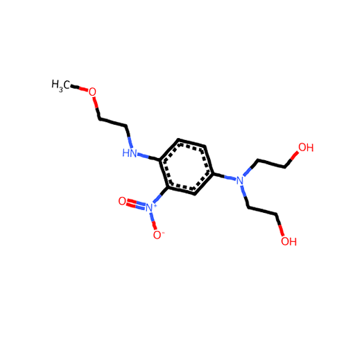 COCCNc1ccc(N(CCO)CCO)cc1[N+](=O)[O-]